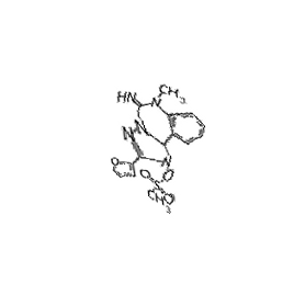 CN1C(=N)N2N=C(c3ccco3)N(OS(C)(=O)=O)C2c2ccccc21